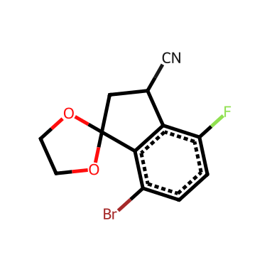 N#CC1CC2(OCCO2)c2c(Br)ccc(F)c21